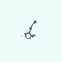 C=CCC1C(=O)C(C)(C)C(OC(=O)OCc2ccc(OC(=O)CCCCCN3C(=O)C=CC3=O)c(Cl)c2)CC(=O)OC(c2ccc3sc(C)nc3c2)CC2OC2(C)CCCC(C)C1O